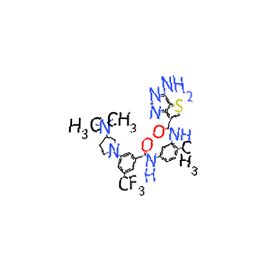 Cc1ccc(NC(=O)c2cc(N3CC[C@@H](N(C)C)C3)cc(C(F)(F)F)c2)cc1NC(=O)c1csc2c(N)ncnc12